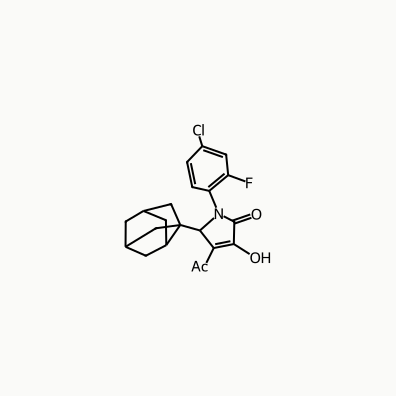 CC(=O)C1=C(O)C(=O)N(c2ccc(Cl)cc2F)C1C12CC3CC(CC1C3)C2